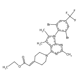 CCOC(=O)C=C1CCN(c2nc(C)nc3c2c(C)c(C)n3-c2c(Br)cc(C(F)(F)F)cc2Br)CC1